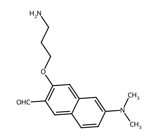 CN(C)c1ccc2cc(C=O)c(OCCCN)cc2c1